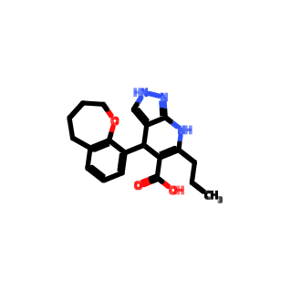 CCCC1=C(C(=O)O)C(c2cccc3c2OCCCC3)c2c[nH]nc2N1